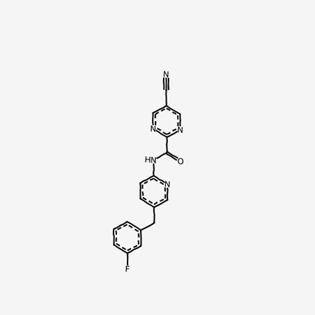 N#Cc1cnc(C(=O)Nc2ccc(Cc3cccc(F)c3)cn2)nc1